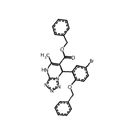 CC1=C(C(=O)OCc2ccccc2)C(c2cc(Br)ccc2OCc2ccccc2)n2nnnc2N1